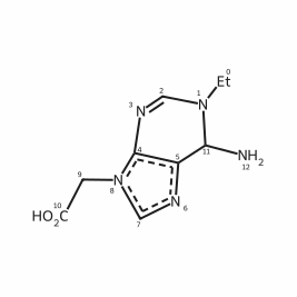 CCN1C=Nc2c(ncn2CC(=O)O)C1N